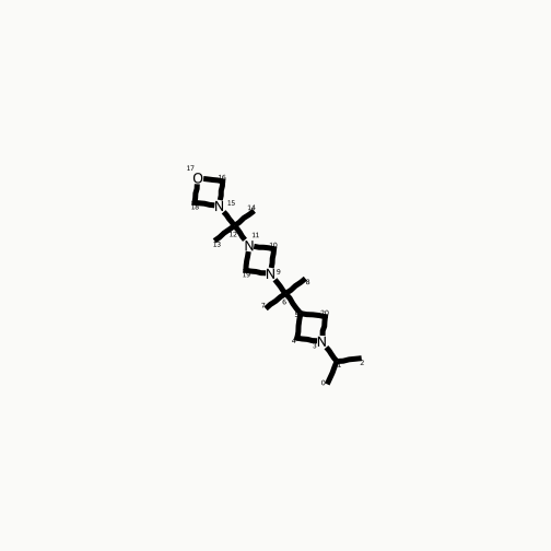 CC(C)N1CC(C(C)(C)N2CN(C(C)(C)N3COC3)C2)C1